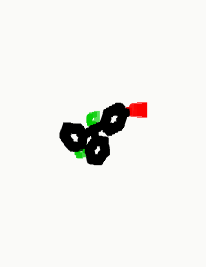 Oc1ccc(C(Cl)(c2ccccc2)c2ccccc2Cl)cc1